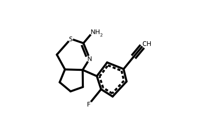 C#Cc1ccc(F)c(C23CCCC2CSC(N)=N3)c1